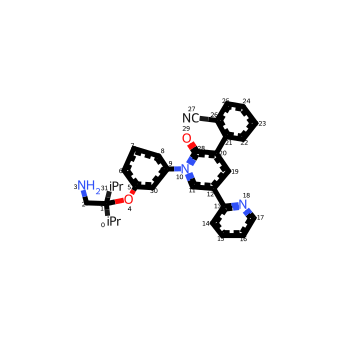 CC(C)C(CN)(Oc1cccc(-n2cc(-c3ccccn3)cc(-c3ccccc3C#N)c2=O)c1)C(C)C